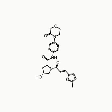 Cc1ccc(/C=C/C(=O)N2C[C@H](O)C[C@@H]2C(=O)Nc2ccc(N3CCOCC3=O)cc2)o1